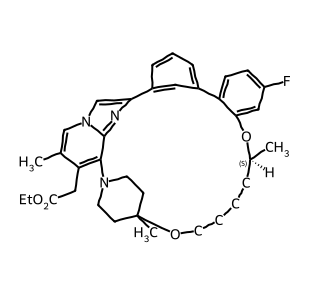 CCOC(=O)Cc1c(C)cn2cc3nc2c1N1CCC(C)(CC1)OCCCC[C@H](C)Oc1cc(F)ccc1-c1cccc-3c1